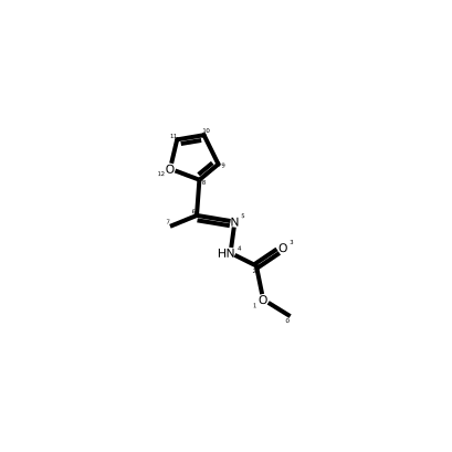 COC(=O)NN=C(C)c1ccco1